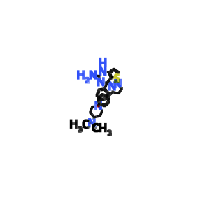 CN(C)C1CCN(c2ccc(C3(N4N=CCC4c4ccccc4)N=C(N)Nc4ccsc43)cc2)CC1